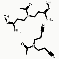 CC(=O)N(CC/C(N)=N\O)CC/C(N)=N\O.CC(=O)N(CCC#N)CCC#N